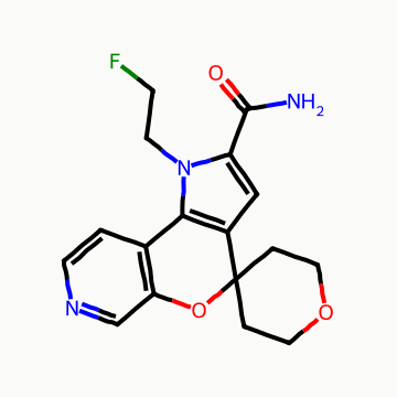 NC(=O)c1cc2c(n1CCF)-c1ccncc1OC21CCOCC1